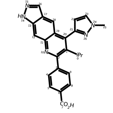 CC(C)c1c(-c2ccc(C(=O)O)cc2)nc2cc3[nH]ncc3cc2c1-c1ccn(C)n1